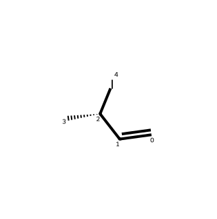 C=C[C@H](C)I